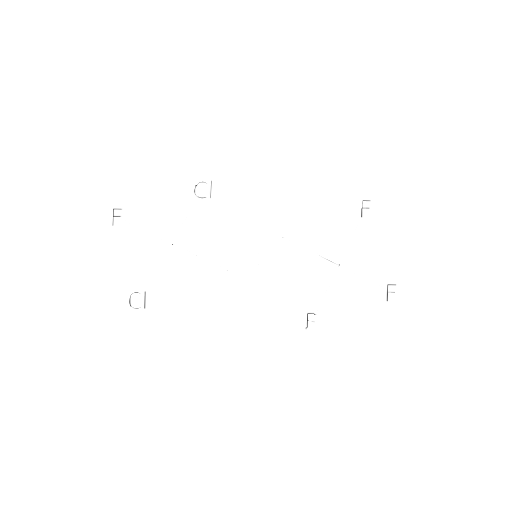 FC(F)(F)C=CC(F)(Cl)Cl